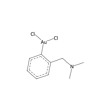 CN(C)Cc1cccc[c]1[Au]([Cl])[Cl]